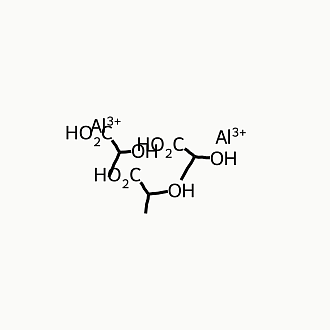 CC(O)C(=O)O.CC(O)C(=O)O.CC(O)C(=O)O.[Al+3].[Al+3]